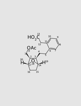 CC(=O)OC[C@H]1[C@@H](CCc2ccccc2CC(=O)O)[C@@H]2CC[C@H]1O2